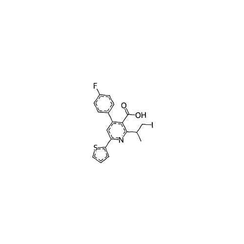 CC(CI)c1nc(-c2cccs2)cc(-c2ccc(F)cc2)c1C(=O)O